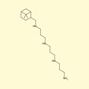 CC1(C)C2CCC(CNCCCNCCCNCCCN)C1C2